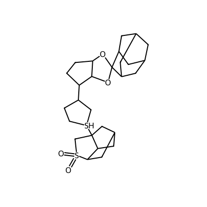 O=S1(=O)CC2([SH]3CCC(C4CCC5OC6(OC54)C4CC5CC(C4)CC6C5)C3)CC3CC2C1C3